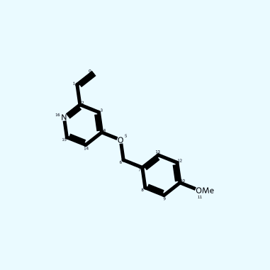 C=Cc1cc(OCc2ccc(OC)cc2)ccn1